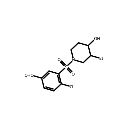 CCC1CN(S(=O)(=O)c2cc(C=O)ccc2Cl)CCC1O